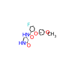 COc1ccc(Oc2ccc(F)cc2C(=O)NC2C=CNC(=O)C2)cc1